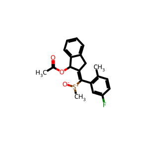 CC(=O)OC1/C(=C(/c2cc(F)ccc2C)[S+](C)[O-])Cc2ccccc21